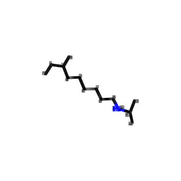 CCC(C)CCCCCCNC(C)C